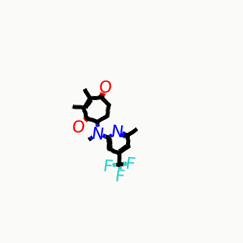 CC1=C(C)C(=O)C(N(C)c2cc(C(F)(F)F)cc(C)n2)CCC1=O